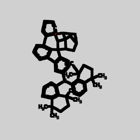 CC1(C)CCC(C)(C)c2c(N(c3ccc4c(c3)-c3cccc(-c5ccccc5)c3C43C4CC5CC6CC3C64C5)c3cccc4c3C(C)(C)CCC4(C)C)cccc21